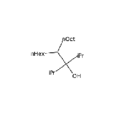 CCCCCCCCC(CCCCCC)C(O)(C(C)C)C(C)C